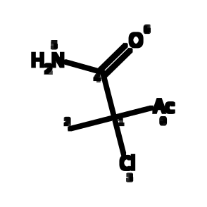 CC(=O)C(C)(Cl)C(N)=O